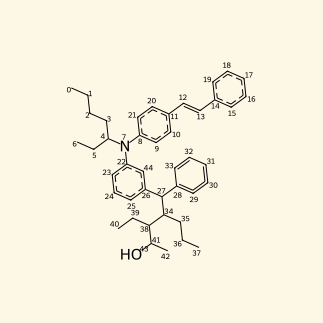 CCCCC(CC)N(c1ccc(/C=C/c2ccccc2)cc1)c1cccc(C(C2=C=C=CC=C2)C(CCC)C(CC)C(C)O)c1